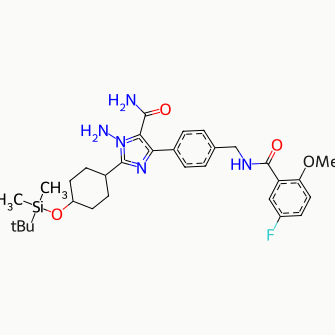 COc1ccc(F)cc1C(=O)NCc1ccc(-c2nc(C3CCC(O[Si](C)(C)C(C)(C)C)CC3)n(N)c2C(N)=O)cc1